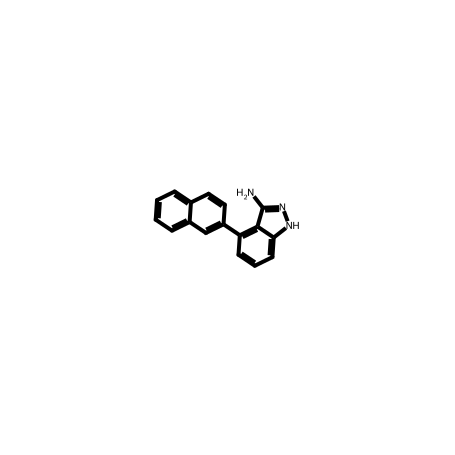 Nc1n[nH]c2cccc(-c3ccc4ccccc4c3)c12